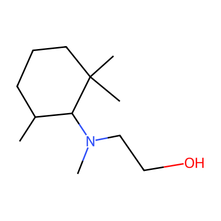 CC1CCCC(C)(C)C1N(C)CCO